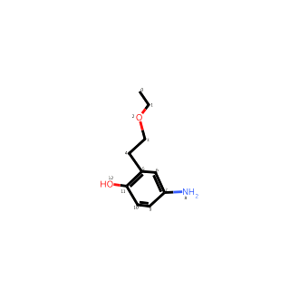 CCOCCc1cc(N)ccc1O